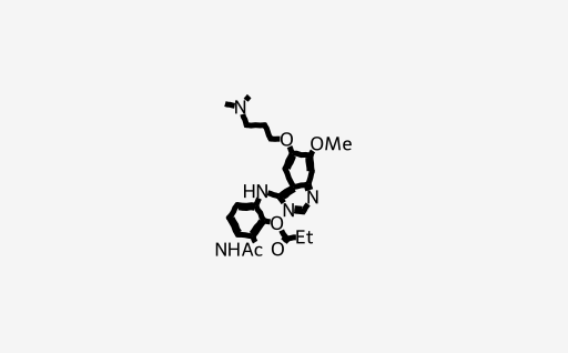 CCC(=O)Oc1c(NC(C)=O)cccc1Nc1ncnc2cc(OC)c(OCCCN(C)C)cc12